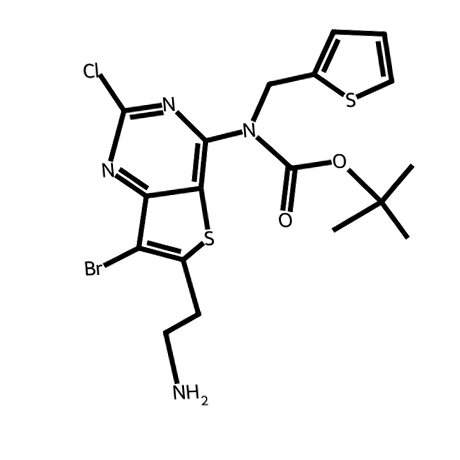 CC(C)(C)OC(=O)N(Cc1cccs1)c1nc(Cl)nc2c(Br)c(CCN)sc12